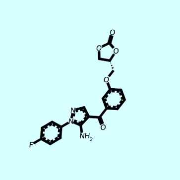 Nc1c(C(=O)c2cccc(OC[C@@H]3COC(=O)O3)c2)cnn1-c1ccc(F)cc1